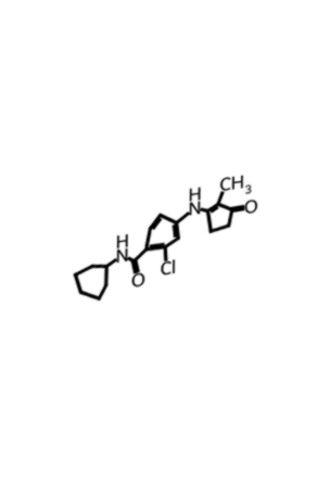 CC1=C(Nc2ccc(C(=O)NC3CCCCC3)c(Cl)c2)CCC1=O